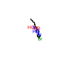 CCCCCC#CC(CS(=O)(=O)N1CCN(c2ccc(Br)cn2)CC1)NO